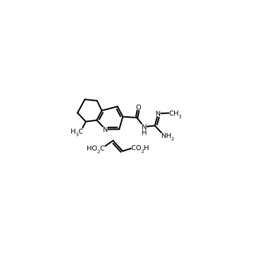 CN=C(N)NC(=O)c1cnc2c(c1)CCCC2C.O=C(O)C=CC(=O)O